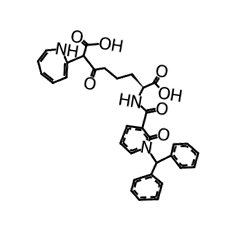 O=C(N[C@@H](CCCC(=O)C(C(=O)O)C1=CC=CC=CN1)C(=O)O)c1cccn(C(c2ccccc2)c2ccccc2)c1=O